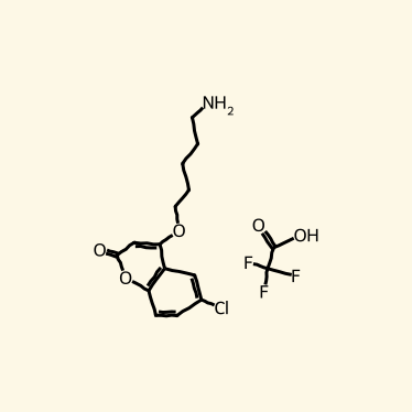 NCCCCCOc1cc(=O)oc2ccc(Cl)cc12.O=C(O)C(F)(F)F